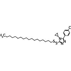 CCCCCCCCCCCCCCCCCCSSc1nnc(-c2ccc(Cl)cc2)n1C1CC1